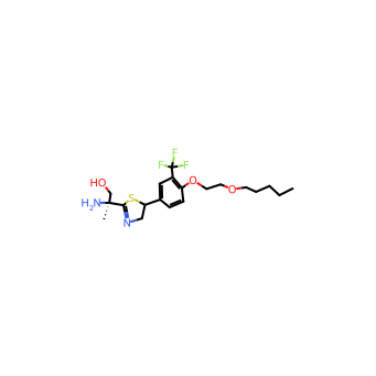 CCCCCOCCOc1ccc(C2CN=C([C@@](C)(N)CO)S2)cc1C(F)(F)F